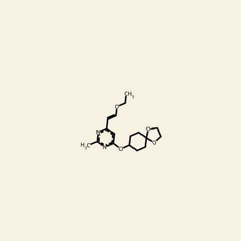 CCOC=Cc1cc(OC2CCC3(CC2)OCCO3)nc(C)n1